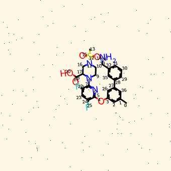 Cc1cc(Oc2nc(N3CCN(S(C)(=O)=O)CC3C(=O)O)c(F)cc2F)cc(-c2cccc(CN)c2)c1